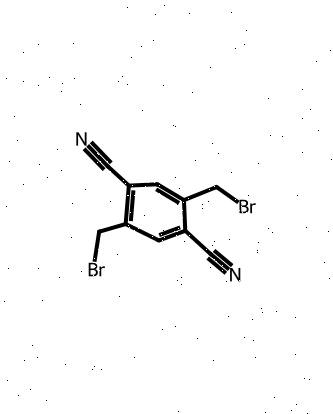 N#Cc1cc(CBr)c(C#N)cc1CBr